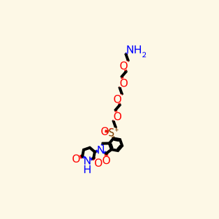 NCCOCCOCCOCCOCC[S+]([O-])c1cccc2c1CN(C1CCC(=O)NC1=O)C2=O